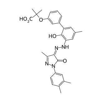 CC1=NN(c2ccc(C)c(C)c2)C(=O)C1=NNc1cc(C)cc(-c2cccc(OC(C)(C)C(=O)O)c2)c1O